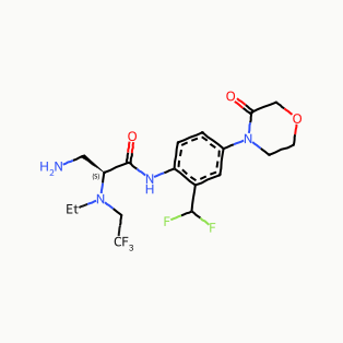 CCN(CC(F)(F)F)[C@@H](CN)C(=O)Nc1ccc(N2CCOCC2=O)cc1C(F)F